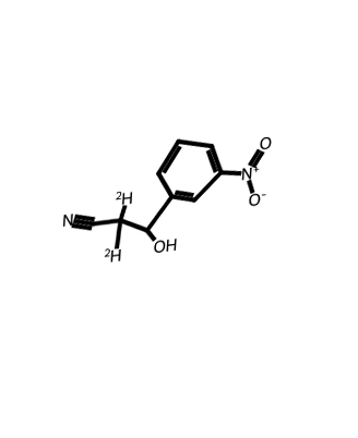 [2H]C([2H])(C#N)C(O)c1cccc([N+](=O)[O-])c1